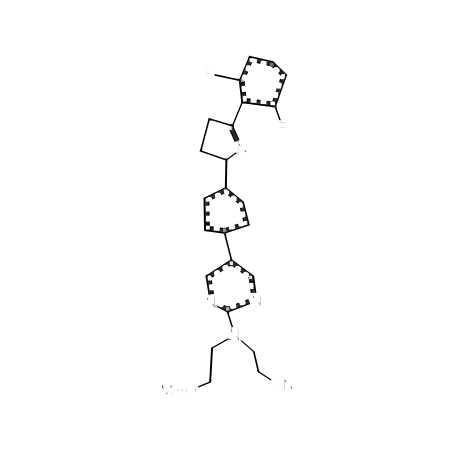 COCCN(CCC#N)c1ncc(-c2ccc(C3CCC(c4c(F)cccc4F)=N3)cc2)cn1